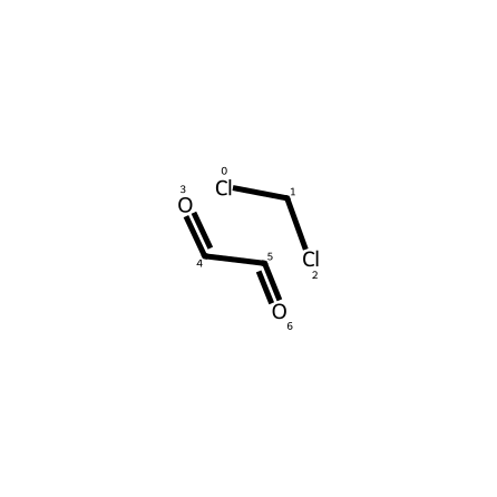 ClCCl.O=CC=O